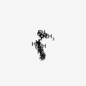 COc1cc(CCc2cc(NC(=O)c3cnc(N4CCN5CCCC5C4)cn3)[nH]n2)cc(OC)c1